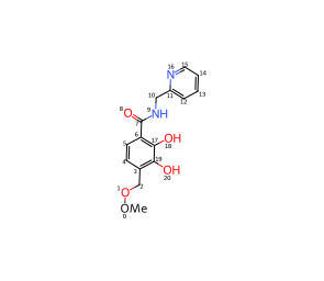 COOCc1ccc(C(=O)NCc2ccccn2)c(O)c1O